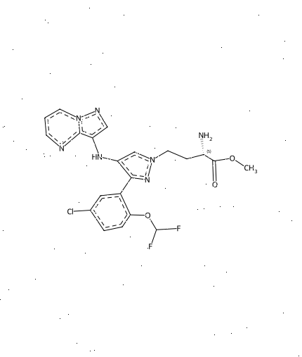 COC(=O)[C@@H](N)CCn1cc(Nc2cnn3cccnc23)c(-c2cc(Cl)ccc2OC(F)F)n1